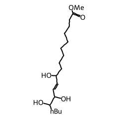 CCCCC(O)C(O)/C=C/C(O)CCCCCCCCC(=O)OC